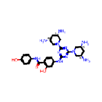 N[C@@H]1C[C@H](N)CN(c2nc(Nc3ccc(C(=O)Nc4ccc(O)cc4)c(O)c3)nc(N3C[C@H](N)C[C@H](N)C3)n2)C1